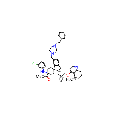 COC(=O)C1(Nc2cccc(Cl)c2)CCC2(CC1)c1cc(CN3CCN(CCc4ccccc4)CC3)ccc1C[C@@H]2C[C@@H](C)COc1ccnc2c1[C@H](C)CCC2